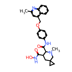 Cc1cc(COc2ccc(NC(=O)C3C(C(=O)NO)CC4(CC4)CN3C)cc2)c2ccccc2n1